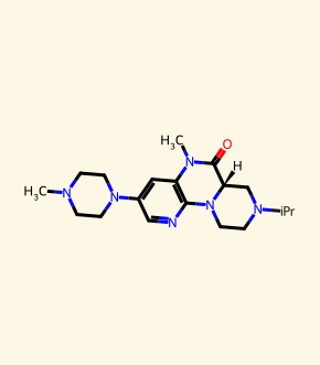 CC(C)N1CCN2c3ncc(N4CCN(C)CC4)cc3N(C)C(=O)[C@@H]2C1